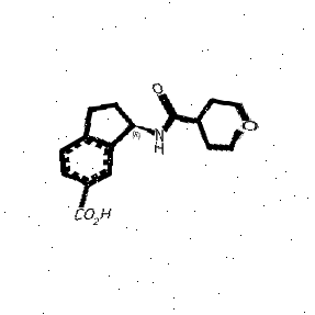 O=C(O)c1ccc2c(c1)[C@H](NC(=O)C1CCOCC1)CC2